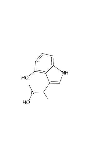 CC(c1c[nH]c2cccc(O)c12)N(C)O